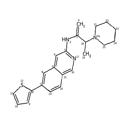 C=C(Nc1cc2cc(-c3cccs3)ccc2cn1)C(C)N1CCCCC1